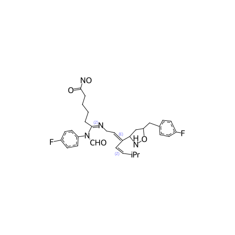 CC(C)/C=C\C(=C/C/N=C(/CCCCC(=O)N=O)N(C=O)c1ccc(F)cc1)C1CC(Cc2ccc(F)cc2)ON1